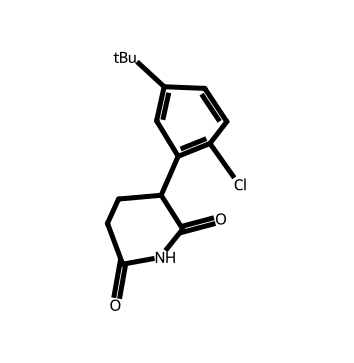 CC(C)(C)c1ccc(Cl)c(C2CCC(=O)NC2=O)c1